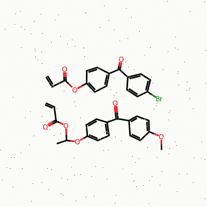 C=CC(=O)OC(C)Oc1ccc(C(=O)c2ccc(OC)cc2)cc1.C=CC(=O)Oc1ccc(C(=O)c2ccc(Br)cc2)cc1